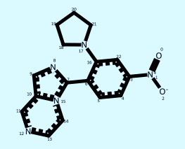 O=[N+]([O-])c1ccc(-c2ncc3cnccn23)c(N2CCCC2)c1